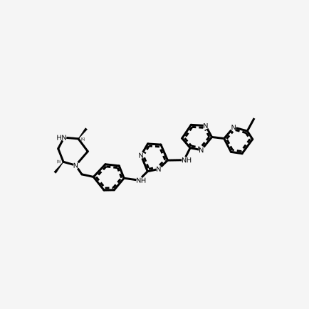 Cc1cccc(-c2nccc(Nc3ccnc(Nc4ccc(CN5C[C@H](C)NC[C@@H]5C)cc4)n3)n2)n1